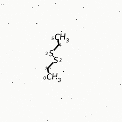 C[CH]SSCC